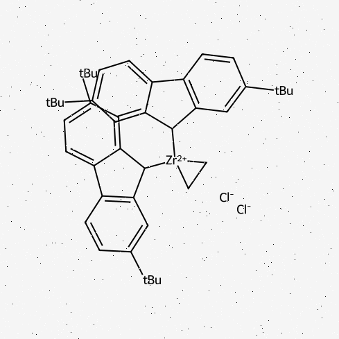 CC(C)(C)c1ccc2c(c1)[CH]([Zr+2]1([CH]3c4cc(C(C)(C)C)ccc4-c4ccc(C(C)(C)C)cc43)[CH2][CH2]1)c1cc(C(C)(C)C)ccc1-2.[Cl-].[Cl-]